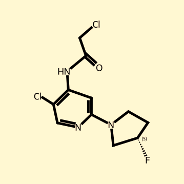 O=C(CCl)Nc1cc(N2CC[C@H](F)C2)ncc1Cl